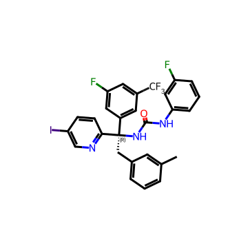 Cc1cccc(C[C@@](NC(=O)Nc2cccc(F)c2)(c2cc(F)cc(C(F)(F)F)c2)c2ccc(I)cn2)c1